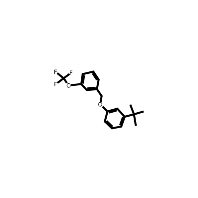 CC(C)(C)c1cccc(OCc2cccc(OC(F)(F)F)c2)c1